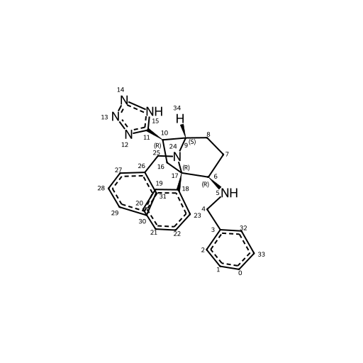 c1ccc(CN[C@@H]2CC[C@H]3[C@H](c4nnn[nH]4)C[C@]2(c2ccccc2)N3Cc2ccccc2)cc1